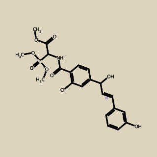 COC(=O)C(NC(=O)c1ccc(C(O)/C=C/c2cccc(O)c2)cc1Cl)P(=O)(OC)OC